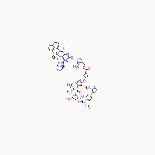 CCc1cccc2cccc(-c3ncc4c(N5CC6CCC(C5)N6)nc(OC[C@@H]5CC[C@@H](COC(=O)N6CC(Oc7cc([C@H](C(=O)N8C[C@H](O)C[C@H]8C(=O)N[C@@H](C)c8ccc(-c9scnc9C)cc8)C(C)C)on7)C6)N5C)nc4c3F)c12